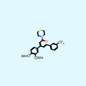 COc1ccc(C(C=Cc2cccc(C(F)(F)F)c2)=CC(=O)N2CCSCC2)cc1OC